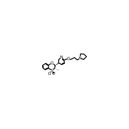 C[C@H]1[C@H](C2C=CC(OCCCN3CCCC3)=NC2)Oc2ccccc2S1(=O)=O